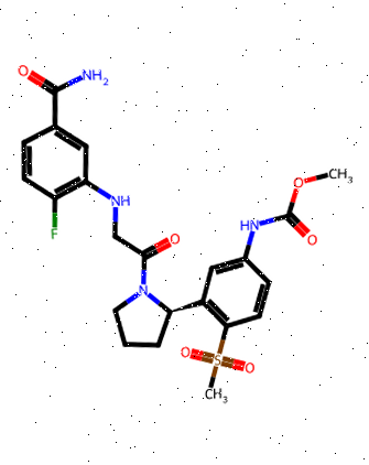 COC(=O)Nc1ccc(S(C)(=O)=O)c([C@H]2CCCN2C(=O)CNc2cc(C(N)=O)ccc2F)c1